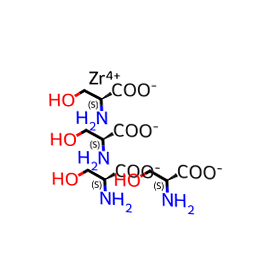 N[C@@H](CO)C(=O)[O-].N[C@@H](CO)C(=O)[O-].N[C@@H](CO)C(=O)[O-].N[C@@H](CO)C(=O)[O-].[Zr+4]